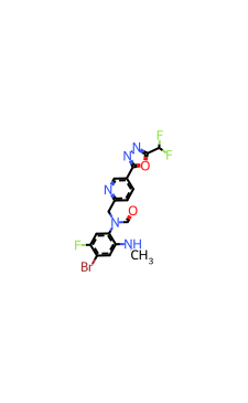 CNc1cc(Br)c(F)cc1N(C=O)Cc1ccc(-c2nnc(C(F)F)o2)cn1